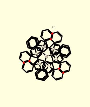 [Cl-].c1cc[c]([Ge]([c]2ccccc2)([c]2ccccc2)[N]([Hf+]([N]([Ge]([c]2ccccc2)([c]2ccccc2)[c]2ccccc2)[Ge]([c]2ccccc2)([c]2ccccc2)[c]2ccccc2)[N]([Ge]([c]2ccccc2)([c]2ccccc2)[c]2ccccc2)[Ge]([c]2ccccc2)([c]2ccccc2)[c]2ccccc2)[Ge]([c]2ccccc2)([c]2ccccc2)[c]2ccccc2)cc1